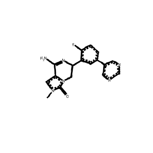 Cn1cc2n(c1=O)CC(c1cc(-c3cncnc3)ccc1F)N=C2N